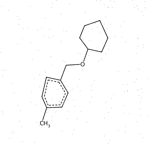 Cc1ccc(COC2CCCCC2)cc1